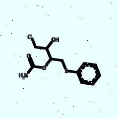 NC(=O)OC(CSc1ccccc1)C(O)CCl